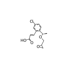 C[C@@H](OCC1CO1)c1ccc(Cl)cc1C=CC(=O)O